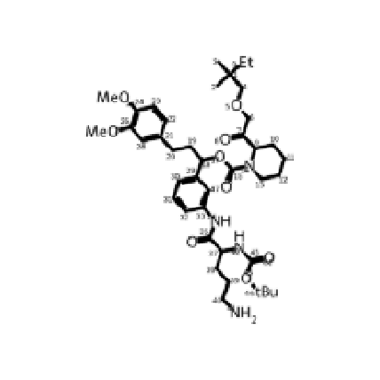 CCC(C)(C)COCC(=O)C1CCCCN1C(=O)OC(CCc1ccc(OC)c(OC)c1)c1cccc(NC(=O)C(CCCN)NC(=O)OC(C)(C)C)c1